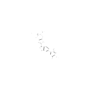 CCCN1Cc2[nH]c(-c3n[nH]c4cc(-c5cc(F)c(O)cc5CC)ccc34)nc2CC1C(=O)O